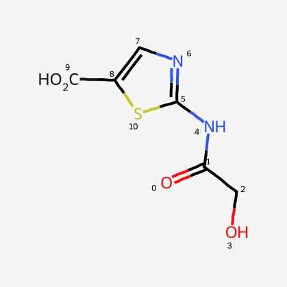 O=C(CO)Nc1ncc(C(=O)O)s1